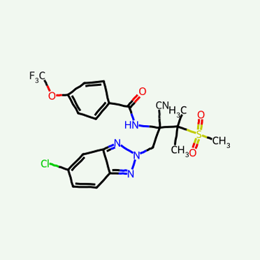 CC(C)(C(C#N)(Cn1nc2ccc(Cl)cc2n1)NC(=O)c1ccc(OC(F)(F)F)cc1)S(C)(=O)=O